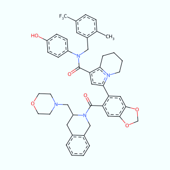 Cc1ccc(C(F)(F)F)cc1CN(C(=O)c1cc(-c2cc3c(cc2C(=O)N2Cc4ccccc4CC2CN2CCOCC2)OCO3)n2c1CCCC2)c1ccc(O)cc1